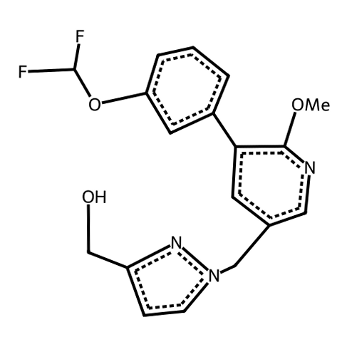 COc1ncc(Cn2ccc(CO)n2)cc1-c1cccc(OC(F)F)c1